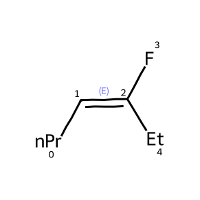 CCC/C=C(/F)CC